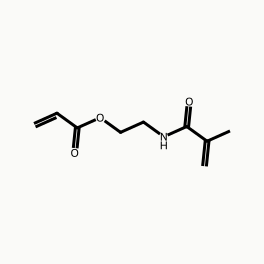 C=CC(=O)OCCNC(=O)C(=C)C